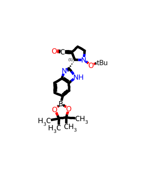 CC(C)(C)ON1CCC(=C=O)[C@H]1c1nc2ccc(B3OC(C)(C)C(C)(C)O3)cc2[nH]1